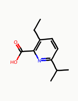 CCc1ccc(C(C)C)nc1C(=O)O